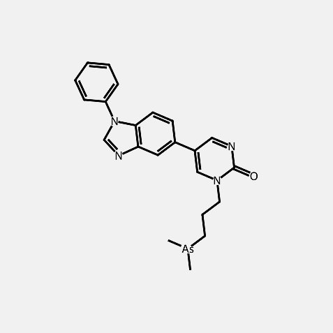 C[As](C)CCCn1cc(-c2ccc3c(c2)ncn3-c2ccccc2)cnc1=O